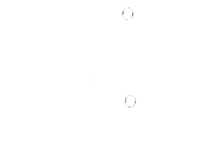 CCC(C=O)OC